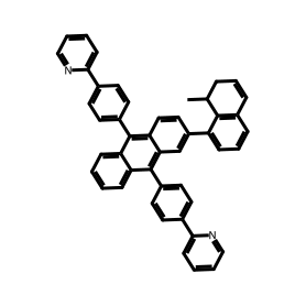 CC1CC=Cc2cccc(-c3ccc4c(-c5ccc(-c6ccccn6)cc5)c5ccccc5c(-c5ccc(-c6ccccn6)cc5)c4c3)c21